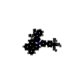 BC(C)(C)c1ccc(-c2ccc(N(c3ccc4c(c3)-c3ccccc3C4(C)C)c3ccc4c(c3)C3(c5ccccc5-4)c4ccccc4-c4ccc(C(C)(C)C)cc43)cc2)cc1